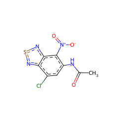 CC(=O)Nc1cc(Cl)c2nsnc2c1[N+](=O)[O-]